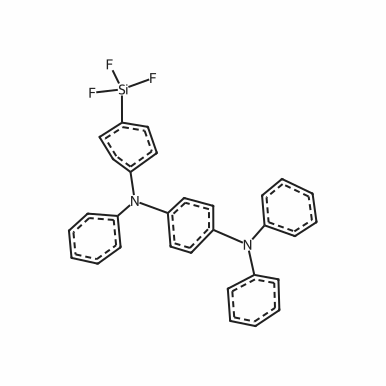 F[Si](F)(F)c1ccc(N(c2ccccc2)c2ccc(N(c3ccccc3)c3ccccc3)cc2)cc1